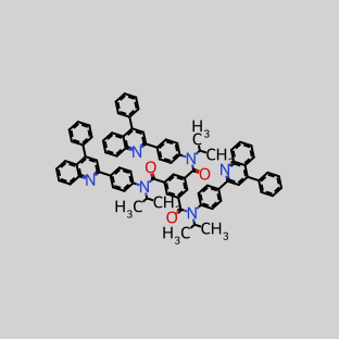 CC(C)N(C(=O)c1cc(C(=O)N(c2ccc(-c3cc(-c4ccccc4)c4ccccc4n3)cc2)C(C)C)cc(C(=O)N(c2ccc(-c3cc(-c4ccccc4)c4ccccc4n3)cc2)C(C)C)c1)c1ccc(-c2cc(-c3ccccc3)c3ccccc3n2)cc1